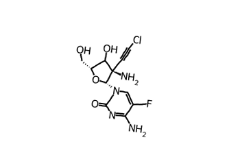 Nc1nc(=O)n([C@@H]2O[C@H](CO)C(O)[C@]2(N)C#CCl)cc1F